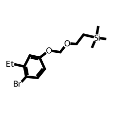 CCc1cc(OCOCC[Si](C)(C)C)ccc1Br